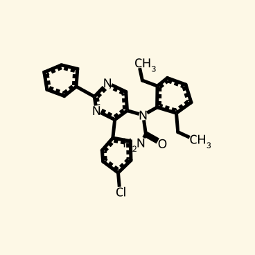 CCc1cccc(CC)c1N(C(N)=O)c1cnc(-c2ccccc2)nc1-c1ccc(Cl)cc1